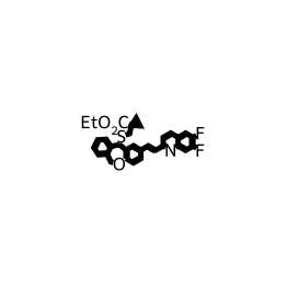 CCOC(=O)C1(CSC2c3ccccc3COc3ccc(C=Cc4ccc5cc(F)c(F)cc5n4)cc32)CC1